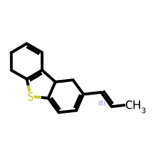 C/C=C/C1=CC=C2SC3=C(C=CCC3)C2C1